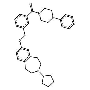 O=C(c1cccc(COc2ccc3c(c2)CCN(C2CCCC2)CC3)c1)N1CCN(c2ccncc2)CC1